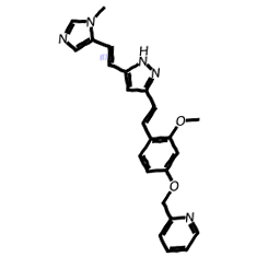 COc1cc(OCc2ccccn2)ccc1C=Cc1cc(/C=C/c2cncn2C)[nH]n1